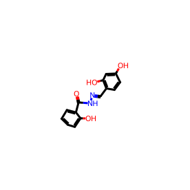 O=C(NN=Cc1ccc(O)cc1O)c1ccccc1O